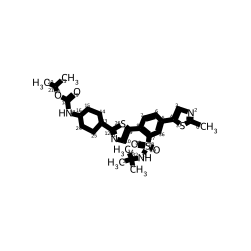 Cc1ncc(-c2ccc(-c3cnc(C4CCC(NC(=O)OC(C)C)CC4)s3)c(S(=O)(=O)NC(C)(C)C)c2)s1